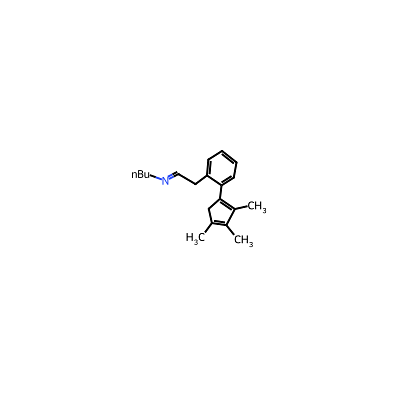 CCCCN=CCc1ccccc1C1=C(C)C(C)=C(C)C1